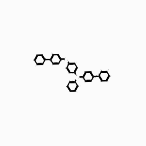 c1ccc(-c2ccc(Nc3ccc(N(c4ccccc4)c4ccc(-c5ccccc5)cc4)cc3)cc2)cc1